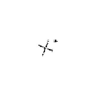 F[As](F)(F)F.[LiH]